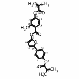 C=C(C)C(=O)Oc1ccc(-c2ccc(OC(=O)c3ccc(OC(=O)C(=C)C)cc3C)o2)cc1